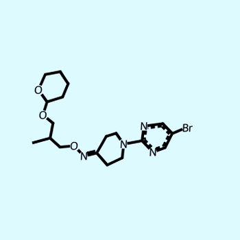 CC(CON=C1CCN(c2ncc(Br)cn2)CC1)COC1CCCCO1